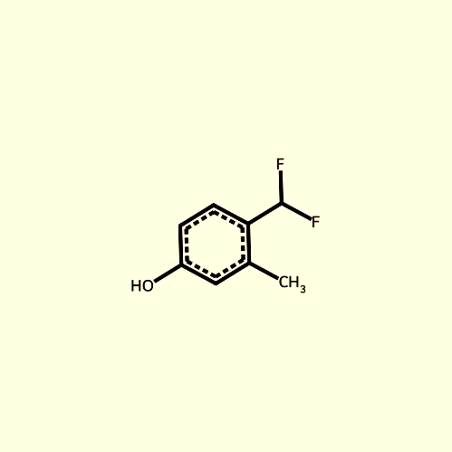 Cc1cc(O)ccc1C(F)F